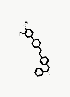 CCOc1ccc(C2CCC(CCc3ccc(C[C@H](C)c4ccccc4)cc3)CC2)cc1F